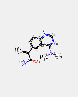 C=C(C(N)=O)c1ccc2ncnc(N(C)C)c2c1